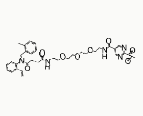 C=Cc1ccccc1N(Cc1ccccc1C)C(=O)CCC(=O)NCCOCCOCCOCCNC(=O)c1cnc(S(C)(=O)=O)nc1